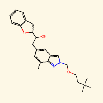 Cc1cc(CC(O)c2cc3ccccc3o2)cc2cn(COCC[Si](C)(C)C)nc12